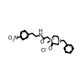 C[N+]1(CC(=O)NCCc2ccc([N+](=O)[O-])cc2)CCN(Cc2ccccc2)CC1=O.[Cl-]